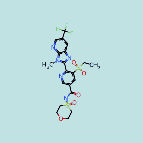 CCS(=O)(=O)c1cc(C(=O)N=S2(=O)CCOCC2)cnc1-c1nc2cc(C(F)(F)F)cnc2n1C